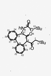 CC(C)(C)CC(=O)C1C(=O)N(NC(=O)OC(C)(C)C)c2ccccc2-c2ccccc21